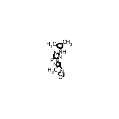 Cc1cc(C)cc(Nc2ncc(F)c(-n3cc(CN4CCOCC4)c(C)n3)n2)c1